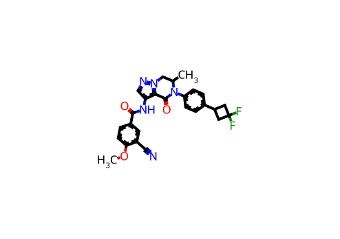 COc1ccc(C(=O)Nc2cnn3c2C(=O)N(c2ccc(C4CC(F)(F)C4)cc2)C(C)C3)cc1C#N